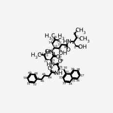 CC[C@H](C)[C@@H](CO)NC(=O)C[C@H](O)[C@H](CC(C)C)NC(=O)[C@H](CC(C)C)NC(=O)[C@H](Cc1cccc2ccccc12)NC(=O)CCCc1ccccc1